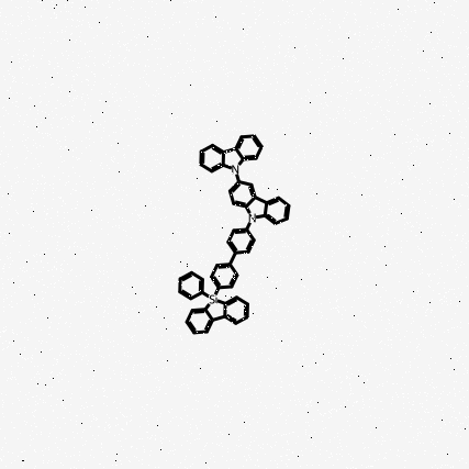 c1ccc([Si]2(c3ccc(-c4ccc(-n5c6ccccc6c6cc(-n7c8ccccc8c8ccccc87)ccc65)cc4)cc3)c3ccccc3-c3ccccc32)cc1